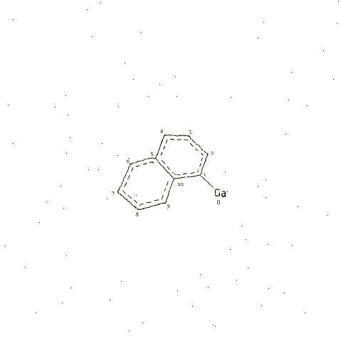 [Ga][c]1cccc2ccccc12